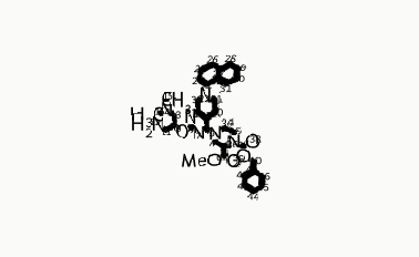 COC(=O)C1CN(c2nc(OC(CN)CN(C)C)nc3c2CCN(c2cccc4ccccc24)C3)CCN1C(=O)OCc1ccccc1